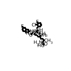 CC(CCC(O)CC(COC(=O)Nc1cc2cc(F)ccc2cn1)N(C)C(=O)NCc1cccc(F)c1Cl)[C@@H](N)C(=O)O